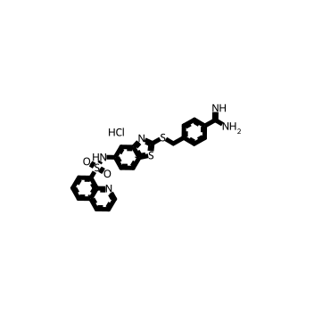 Cl.N=C(N)c1ccc(CSc2nc3cc(NS(=O)(=O)c4cccc5cccnc45)ccc3s2)cc1